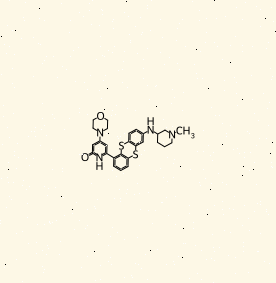 CN1CCCC(Nc2ccc3c(c2)Sc2cccc(-c4cc(N5CCOCC5)cc(=O)[nH]4)c2S3)C1